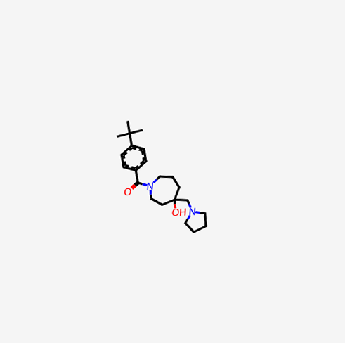 CC(C)(C)c1ccc(C(=O)N2CCCC(O)(CN3CCCC3)CC2)cc1